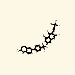 CC1CCc2cc(-c3ccc(C(F)(F)Oc4cc(F)c5c(F)c(C#CC(F)(F)F)c(F)cc5c4)cc3)ccc2C1